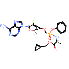 C[C@H](NP(=O)(COC1C2=C(F)[C@H](n3cnc4c(N)ncnc43)O[C@@H]21)Oc1ccccc1)C(=O)OCC1CC1